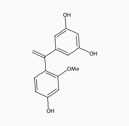 C=C(c1cc(O)cc(O)c1)c1ccc(O)cc1OC